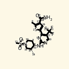 Cc1sc(-c2nc(N[C@H]3CCN(S(C)(=O)=O)C[C@H]3C)ncc2C(F)(F)F)cc1C(N)=O